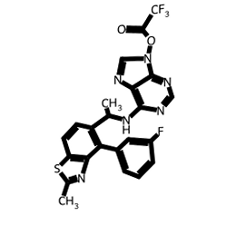 Cc1nc2c(-c3cccc(F)c3)c(C(C)Nc3ncnc4c3ncn4OC(=O)C(F)(F)F)ccc2s1